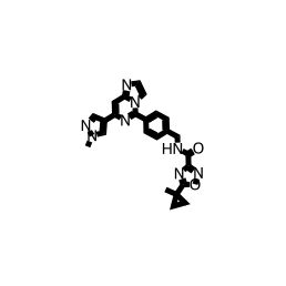 Cn1cc(-c2cc3nccn3c(-c3ccc(CNC(=O)c4noc(C5(C)CC5)n4)cc3)n2)cn1